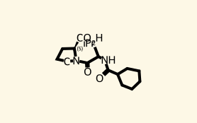 CC(C)C(NC(=O)C1CCCCC1)C(=O)N1CCC[C@H]1C(=O)O